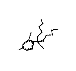 CCCCCC(C)(CCCCC)c1ccc(F)cc1F